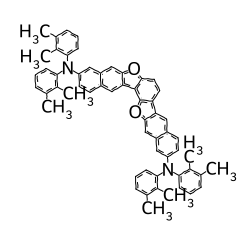 Cc1cccc(N(c2ccc3cc4c(cc3c2)oc2c4ccc3oc4cc5cc(N(c6cccc(C)c6C)c6cccc(C)c6C)ccc5cc4c32)c2cccc(C)c2C)c1C